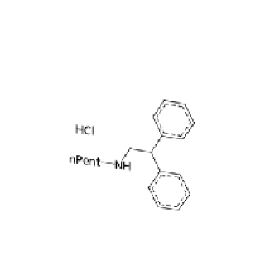 CCCCCNCC(c1ccccc1)c1ccccc1.Cl